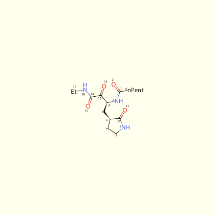 CCCCCC(=O)N[C@@H](C[C@@H]1CCNC1=O)C(=O)C(=O)NCC